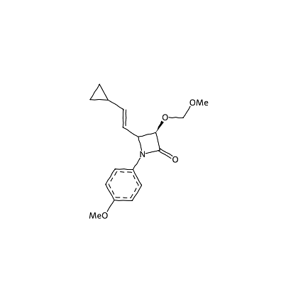 COCO[C@H]1C(=O)N(c2ccc(OC)cc2)C1/C=C/C1CC1